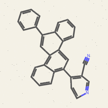 N#Cc1cnccc1-c1cc2c3ccccc3c(-c3ccccc3)cc2c2ccccc12